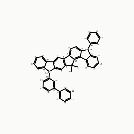 CC1(C)c2cc3c(cc2-c2ccc4c(c21)c1ccccc1n4-c1ccccc1)c1ccccc1n3-c1cccc(-c2ccccc2)c1